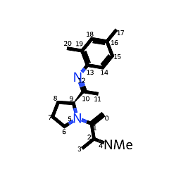 C=C(C(C)NC)N1CCC[C@H]1/C(C)=N/c1ccc(C)cc1C